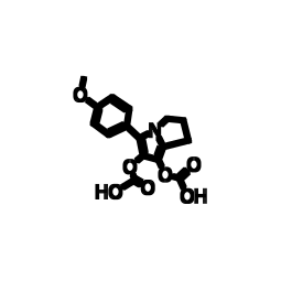 COc1ccc(-c2c(OC(=O)O)c(OC(=O)O)c3n2CCC3)cc1